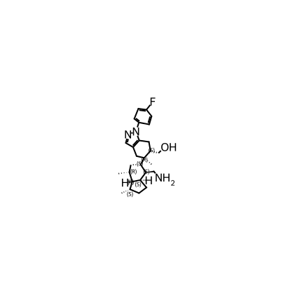 C[C@@H]1C[C@H]([C@@]2(C)Cc3cnn(-c4ccc(F)cc4)c3C[C@@H]2CO)[C@@H](CN)[C@H]2CC[C@H](C)[C@@H]21